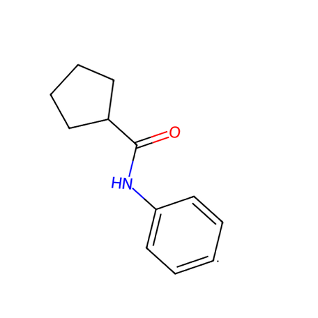 O=C(Nc1cc[c]cc1)C1CCCC1